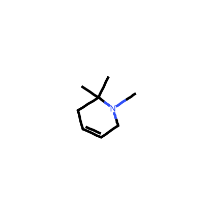 CN1CC=CCC1(C)C